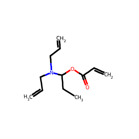 C=CCN(CC=C)C(CC)OC(=O)C=C